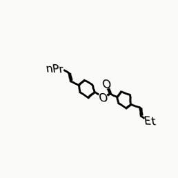 CCC=CC1CCC(C(=O)OC2CCC(C=CCCC)CC2)CC1